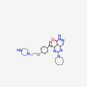 O=c1[nH]ncc2nc(N3CCCCCC3)nc([AsH]c3ccc(OCCN4CCNCC4)cc3)c12